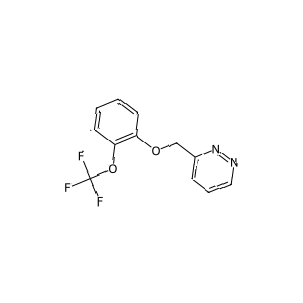 FC(F)(F)Oc1[c]cccc1OCc1cccnn1